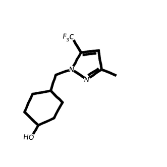 Cc1cc(C(F)(F)F)n(CC2CCC(O)CC2)n1